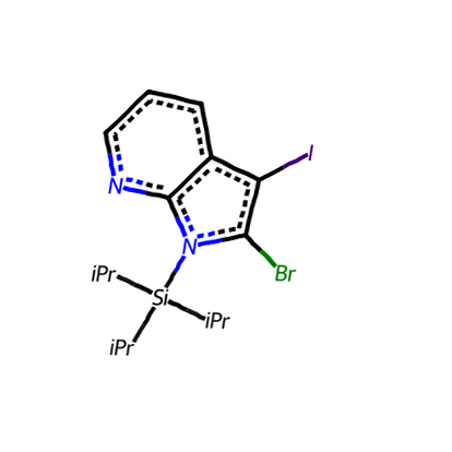 CC(C)[Si](C(C)C)(C(C)C)n1c(Br)c(I)c2cccnc21